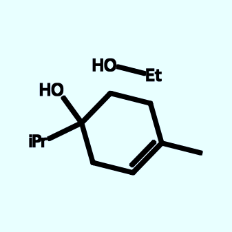 CC1=CCC(O)(C(C)C)CC1.CCO